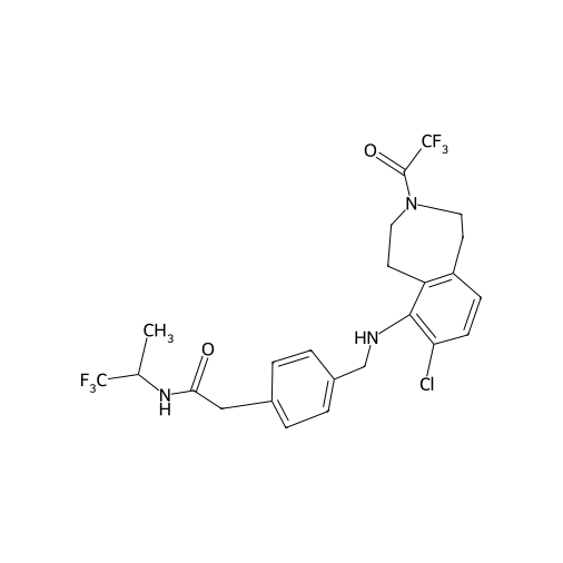 CC(NC(=O)Cc1ccc(CNc2c(Cl)ccc3c2CCN(C(=O)C(F)(F)F)CC3)cc1)C(F)(F)F